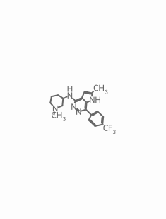 Cc1cc2c(N[C@@H]3CCCN(C)C3)nnc(-c3ccc(C(F)(F)F)cc3)c2[nH]1